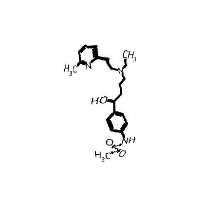 CCN(CCCC(O)c1ccc(NS(C)(=O)=O)cc1)CCc1cccc(C)n1